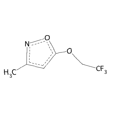 Cc1cc(OCC(F)(F)F)on1